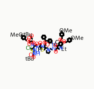 CCn1cc(C(=O)NCC[N+]2(CC3=C(C(=O)OC(c4ccccc4)c4ccccc4)N4C(=O)[C@@H](NC(=O)/C(=N\O[C@@H](CC(=O)OC(C)(C)C)C(=O)OCc5ccc(OC)cc5)c5nc(NC(=O)OC(C)(C)C)sc5Cl)[C@H]4SC3)CCCC2)c(=O)c2c(C)c(OCc3ccc(OC)cc3)c(OCc3ccc(OC)cc3)cc21